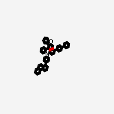 c1ccc(-c2ccc(-c3ccc(N(c4ccc(-c5cccc6c5ccc5ccccc56)cc4)c4ccccc4-c4cccc5oc6ccccc6c45)cc3)cc2)cc1